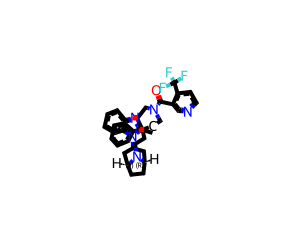 Cc1nc2ccccc2n1C1C[C@H]2CC[C@@H](C1)N2CCC1(c2ccccc2)CCN(C(=O)c2cnccc2C(F)(F)F)CC1